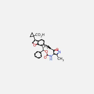 Cc1noc(C#Cc2ccc3c(C4(C(=O)O)CC4)coc3c2)c1NC(=O)OC(C)c1ccccc1